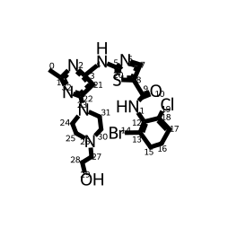 Cc1nc(Nc2ncc(C(=O)NC3=C(Br)CCC=C3Cl)s2)cc(N2CCN(CCO)CC2)n1